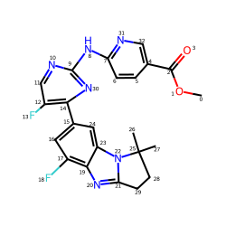 COC(=O)c1ccc(Nc2ncc(F)c(-c3cc(F)c4nc5n(c4c3)C(C)(C)CC5)n2)nc1